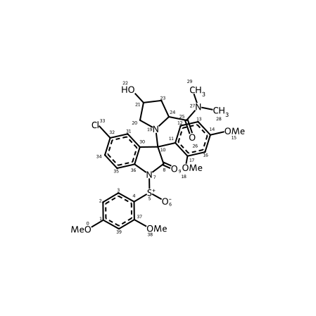 COc1ccc([S+]([O-])N2C(=O)C(c3ccc(OC)cc3OC)(N3CC(O)CC3C(=O)N(C)C)c3cc(Cl)ccc32)c(OC)c1